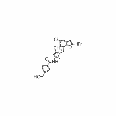 Cc1cc(NC(=O)c2ccc(CO)cc2)nn1Cc1cc(Cl)cc2cc(C(C)C)oc12